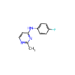 Cc1nccc(Nc2ccc(F)cc2)n1